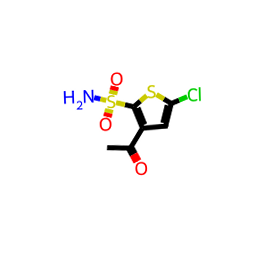 CC(=O)c1cc(Cl)sc1S(N)(=O)=O